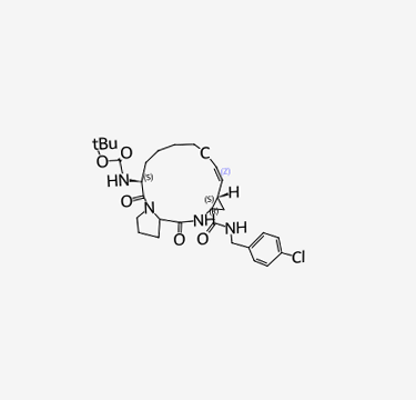 CC(C)(C)OC(=O)N[C@H]1CCCCC/C=C\[C@@H]2C[C@@]2(C(=O)NCc2ccc(Cl)cc2)NC(=O)C2CCCN2C1=O